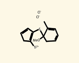 COC1(SC2=[C]([Ti+2])CC=C2)CC=CC=C1C.[Cl-].[Cl-]